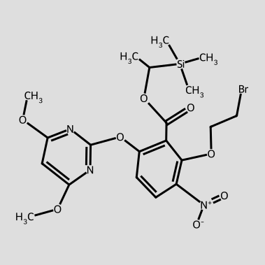 COc1cc(OC)nc(Oc2ccc([N+](=O)[O-])c(OCCBr)c2C(=O)OC(C)[Si](C)(C)C)n1